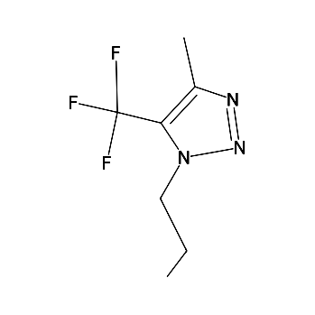 CCCn1nnc(C)c1C(F)(F)F